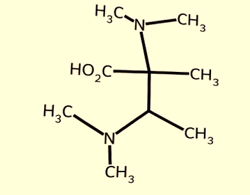 CC(N(C)C)C(C)(C(=O)O)N(C)C